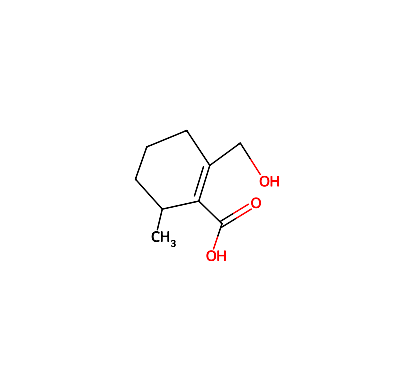 CC1CCCC(CO)=C1C(=O)O